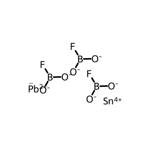 [O-]B([O-])F.[O-]B([O-])F.[O-]B([O-])F.[Pb+2].[Sn+4]